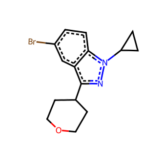 Brc1ccc2c(c1)c(C1CCOCC1)nn2C1CC1